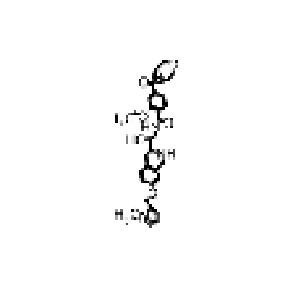 CCOc1cc(C(=O)N2C3CCC2COC3)ccc1C(=O)NC[C@@H](O)[C@@H]1Cc2ccc(OCc3ccnn3C)cc2CN1